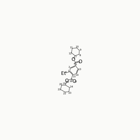 CCc1cc(C(=O)OC2CCCCC2)ccc1C(=O)OC1CCCCC1